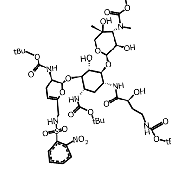 CN(C(=O)OC(C)(C)C)[C@@H]1[C@@H](O)[C@@H](O[C@@H]2[C@@H](O)[C@H](O[C@H]3OC(CNS(=O)(=O)c4ccccc4[N+](=O)[O-])=CC[C@H]3NC(=O)OC(C)(C)C)[C@@H](NC(=O)OC(C)(C)C)C[C@H]2NC(=O)[C@@H](O)CCNC(=O)OC(C)(C)C)OC[C@]1(C)O